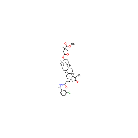 CC(C)C1=C2[C@H]3CC[C@@H]4[C@@]5(C)CC[C@H](OC(=O)CC(C)(C)C(=O)OC(C)(C)C)C(C)(C)[C@@H]5CC[C@@]4(C)[C@]3(C)CC[C@@]2(C=CC(=O)N[C@@H](C)c2cccc(Cl)c2)CC1=O